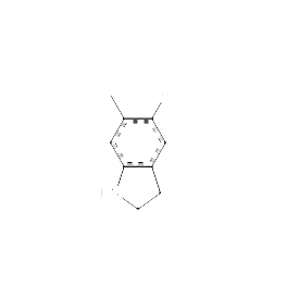 Cc1cc2c(cc1C(=O)O)CCN2